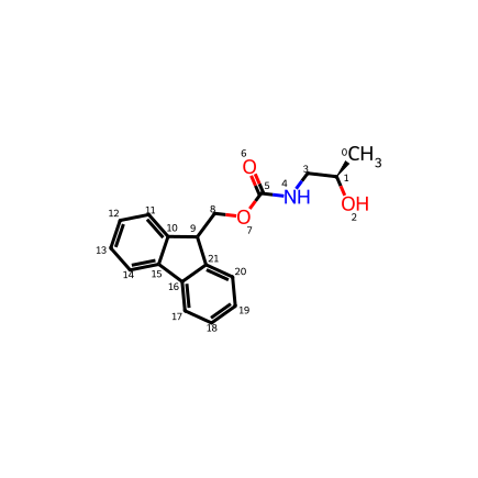 C[C@@H](O)CNC(=O)OCC1c2ccccc2-c2ccccc21